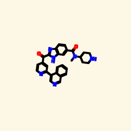 CN(C(=O)c1ccc2nc(C(=O)c3ccnc(-c4cncc5ccccc45)c3)[nH]c2c1)C1CCNCC1